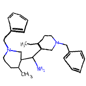 CC1CCN(Cc2ccccc2)CC1C(N)C1CN(Cc2ccccc2)CCC1C